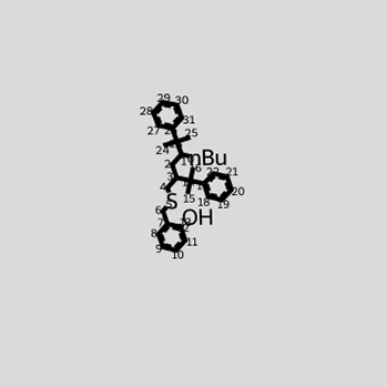 CCCCC(CC(CSCc1ccccc1O)C(C)(C)c1ccccc1)C(C)(C)c1ccccc1